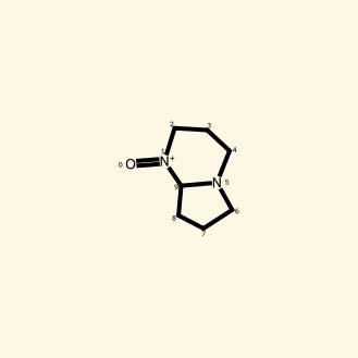 O=[N+]1CCCN2CCCC21